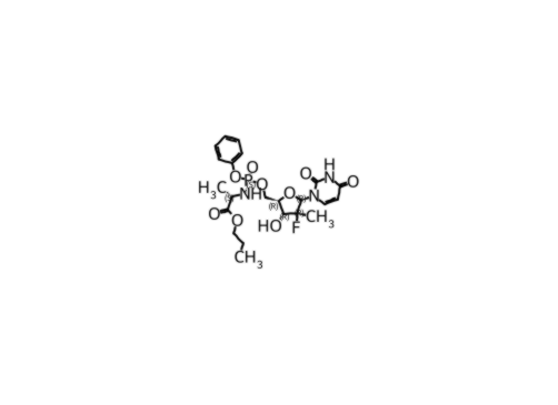 CCCOC(=O)[C@H](C)N[P@](=O)(OC[C@H]1O[C@@H](n2ccc(=O)[nH]c2=O)[C@](C)(F)[C@@H]1O)Oc1ccccc1